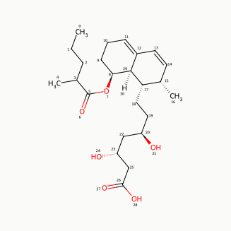 CCCC(C)C(=O)O[C@H]1CCC=C2C=C[C@H](C)[C@H](CC[C@@H](O)C[C@@H](O)CC(=O)O)[C@H]21